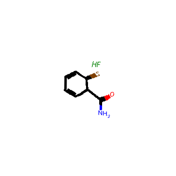 F.NC(=O)C1C=CC=CC1=S